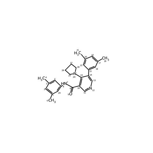 Cc1cc(C)cc(NC(=O)c2cncc(-c3cc(C)cc(C)c3)c2N2CCCC2)c1